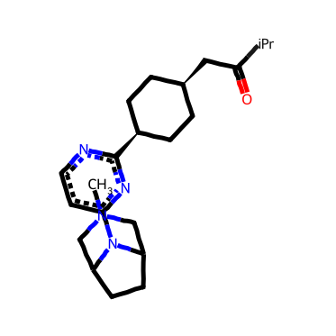 CC(C)C(=O)C[C@H]1CC[C@@H](c2nccc(N3C4CCC3CN(C)C4)n2)CC1